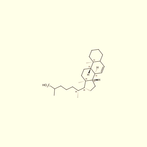 CC(CCC[C@@H](C)[C@H]1CC[C@H]2[C@@H]3C=CC4CCCC[C@]4(C)[C@H]3CC[C@]12C)C(=O)O